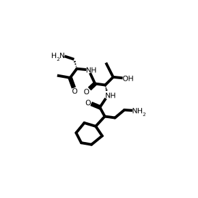 CC(=O)[C@H](CN)NC(=O)[C@@H](NC(=O)C(CCN)C1CCCCC1)C(C)O